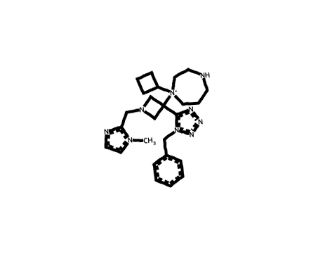 Cn1ccnc1CN1CC(c2nnnn2Cc2ccccc2)([N+]2(C3CCC3)CCCNCC2)C1